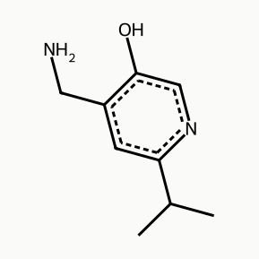 CC(C)c1cc(CN)c(O)cn1